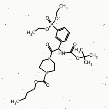 CCCCOC(=O)N1CCN(C(=O)C(NC(=O)OC(C)(C)C)c2cccc(P(=O)(OCC)OCC)c2)CC1